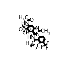 CC(=O)Nc1cc2nc(C)nc(N[C@H](C)c3cccc(C(F)(F)F)c3C)c2cc1P(C)(C)=O